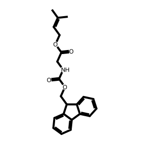 CC(C)=CCOC(=O)CNC(=O)OCC1c2ccccc2-c2ccccc21